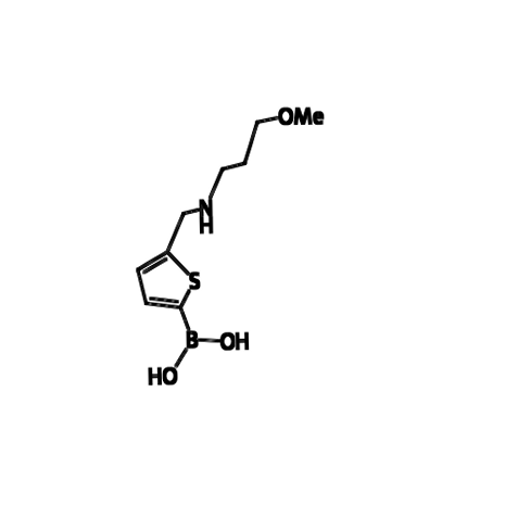 COCCCNCc1ccc(B(O)O)s1